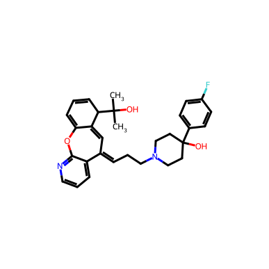 CC(C)(O)C1C=CC=C2Oc3ncccc3C(=CCCN3CCC(O)(c4ccc(F)cc4)CC3)C=C21